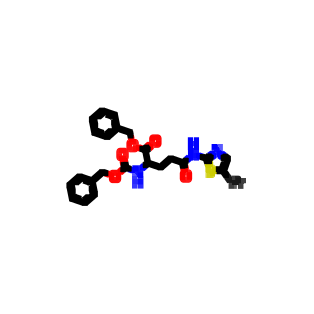 CC(C)c1cnc(NC(=O)CCC(NC(=O)OCc2ccccc2)C(=O)OCc2ccccc2)s1